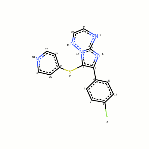 Fc1ccc(-c2nc3nccnn3c2Sc2ccncc2)cc1